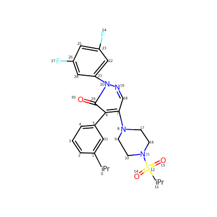 CC(C)c1cccc(-c2c(N3CCN(S(=O)(=O)C(C)C)CC3)cnn(-c3cc(F)cc(F)c3)c2=O)c1